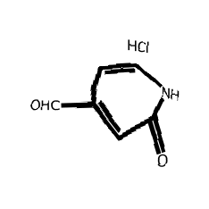 Cl.O=Cc1cc[nH]c(=O)c1